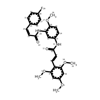 COc1cc(OC)c(/C=C/C(=O)Nc2ccc(OC)c(NC(=O)/C=C\c3ccc(F)cc3)c2)c(OC)c1